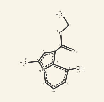 CCOC(=O)c1cc(C)n2cccc(C)c12